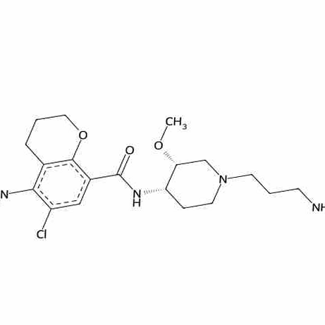 CO[C@@H]1CN(CCCN)CC[C@@H]1NC(=O)c1cc(Cl)c(N)c2c1OCCC2